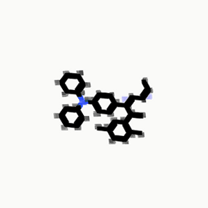 C=C(/C(=C\C=C/C)c1ccc(N(C2=CC=CCC2)c2ccccc2)cc1)c1cc(C)ccc1C